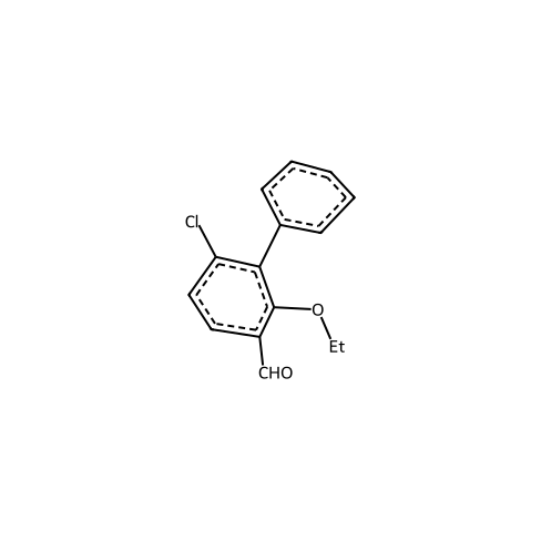 CCOc1c(C=O)ccc(Cl)c1-c1ccccc1